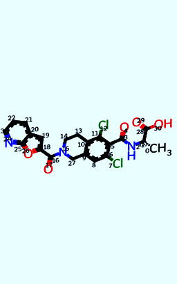 C[C@H](NC(=O)c1c(Cl)cc2c(c1Cl)CCN(C(=O)c1cc3cccnc3o1)C2)C(=O)O